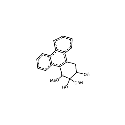 CON1c2c(c3ccccc3c3ccccc23)CC(O)C1(O)OC